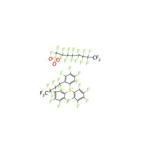 Fc1c(F)c(F)c([S+](c2c(F)c(F)c(F)c(F)c2F)c2c(F)c(F)c(F)c(F)c2C(F)(F)C(F)(F)C(F)(F)C(F)(F)F)c(F)c1F.O=S(=O)([O-])C(F)(F)C(F)(F)C(F)(F)C(F)(F)C(F)(F)C(F)(F)C(F)(F)C(F)(F)F